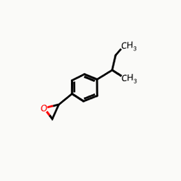 CCC(C)c1ccc(C2CO2)cc1